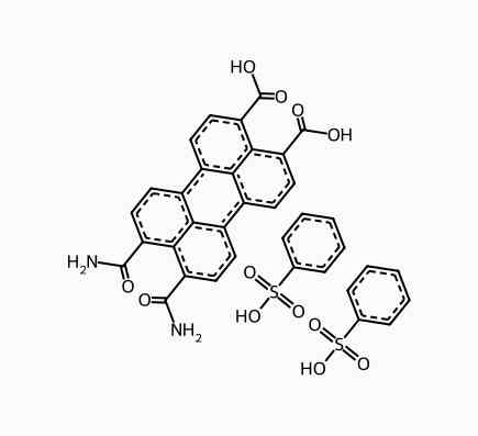 NC(=O)c1ccc2c3ccc(C(=O)O)c4c(C(=O)O)ccc(c5ccc(C(N)=O)c1c25)c43.O=S(=O)(O)c1ccccc1.O=S(=O)(O)c1ccccc1